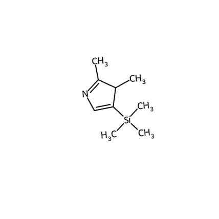 CC1=NC=C([Si](C)(C)C)C1C